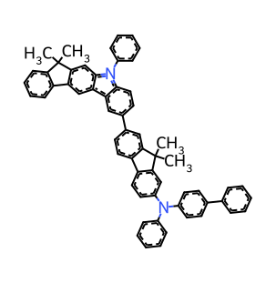 CC1(C)c2cc(-c3ccc4c(c3)c3cc5c(cc3n4-c3ccccc3)C(C)(C)c3ccccc3-5)ccc2-c2ccc(N(c3ccccc3)c3ccc(-c4ccccc4)cc3)cc21